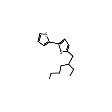 CCCCC(CC)Cc1ccc(-c2cccs2)s1